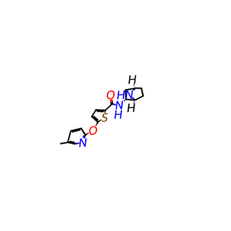 Cc1ccc(Oc2ccc(C(=O)N[C@@H]3C[C@H]4CC[C@@H]3N4)s2)nc1